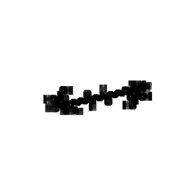 CC(=O)NC1C(O)[C@@H](O)C(CO)O[C@H]1OCCCCC(=O)NCCNC(=O)CCCCOC1OC(CO)[C@H](O)C(O)[C@@H]1NC(C)=O